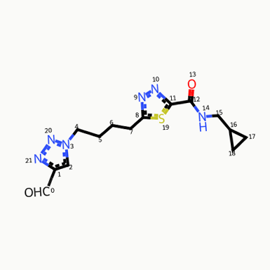 O=Cc1cn(CCCCc2nnc(C(=O)NCC3CC3)s2)nn1